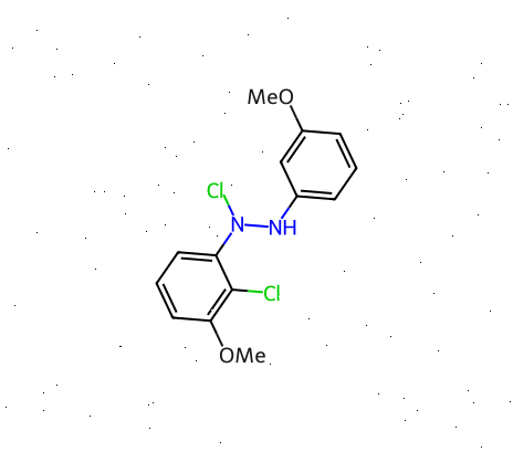 COc1cccc(NN(Cl)c2cccc(OC)c2Cl)c1